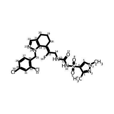 Cc1nn(C)cc1S(=O)(=O)NC(=O)NCC(F)=C1CCCc2cnn(Cc3ccc(Cl)cc3Cl)c21